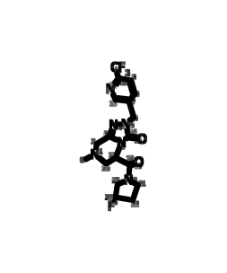 CN1Cc2nn(Cc3ccc(C(F)(F)F)nc3)c(=O)n2C(C(=O)N2CC[C@H](F)C2)C1